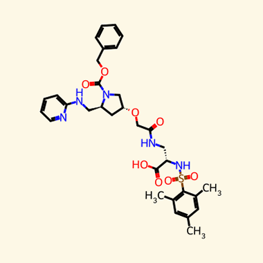 Cc1cc(C)c(S(=O)(=O)N[C@@H](CNC(=O)CO[C@@H]2C[C@@H](CNc3ccccn3)N(C(=O)OCc3ccccc3)C2)C(=O)O)c(C)c1